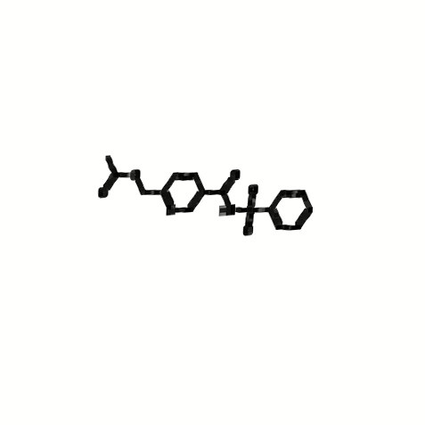 CC(=O)OCc1ccc(C(=O)NS(=O)(=O)c2ccccc2)cn1